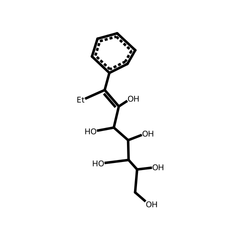 CCC(=C(O)C(O)C(O)C(O)C(O)CO)c1ccccc1